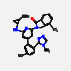 COC1CC1Nc1cc(-c2cc(C#N)ccc2-c2nncn2C)cc(N2Cc3c(cccc3C(F)(F)F)C2=O)n1